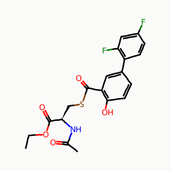 CCOC(=O)[C@@H](CSC(=O)c1cc(-c2ccc(F)cc2F)ccc1O)NC(C)=O